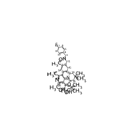 CON(Cc1ccc(F)cc1)Cc1ccc(-c2c(C)nc(C)c(C(OC(C)(C)C)C(=O)O)c2N2CCC(C)(C)CC2)cc1